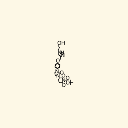 CC(C)(C)OC(=O)N1C(=O)CCC(N2CCN(c3ccc(OCc4cn(CCCO)nn4)cc3)C2=O)C1=O